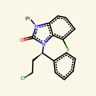 CC(C)n1c(=O)n([C@H](CCCl)c2ccccc2)c2c(F)cccc21